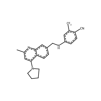 Cc1cc(N2CCCC2)c2ccc(CNc3ccc(C#N)c(C(F)(F)F)c3)cc2n1